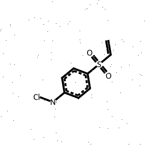 C=CS(=O)(=O)c1ccc([N]Cl)cc1